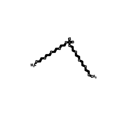 COCCOCCOCCOCCOP(=O)(Cl)OCCOCCOCCOCCOC